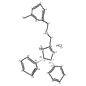 Cc1cccc(COCC2=N[C@H](c3ccccc3)[C@H](c3ccccc3)N2)c1.Cl